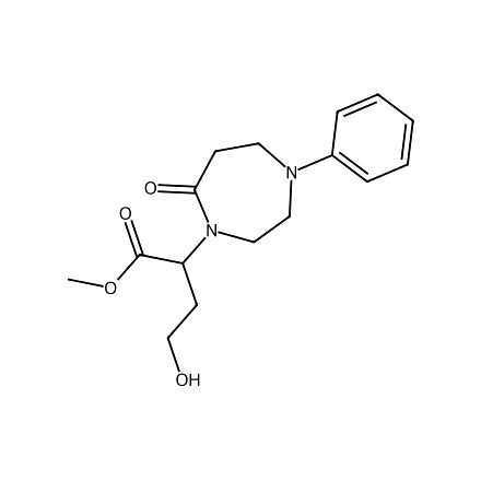 COC(=O)C(CCO)N1CCN(c2ccccc2)CCC1=O